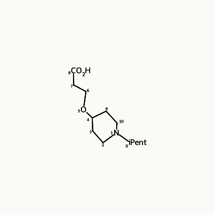 CCCC(C)N1CCC(OCCC(=O)O)CC1